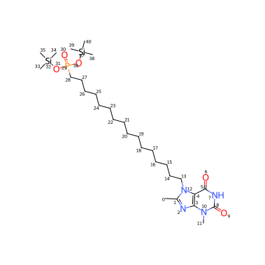 Cc1nc2c(c(=O)[nH]c(=O)n2C)n1CCCCCCCCCCCCCCCCP(=O)(O[Si](C)(C)C)O[Si](C)(C)C